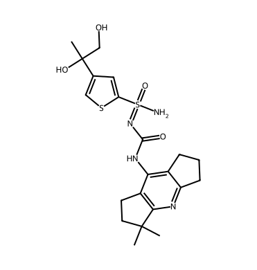 CC1(C)CCc2c1nc1c(c2NC(=O)N=S(N)(=O)c2cc(C(C)(O)CO)cs2)CCC1